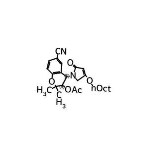 CCCCCCCCOC1=CC(=O)N([C@H]2c3cc(C#N)ccc3OC(C)(C)[C@@H]2OC(C)=O)C1